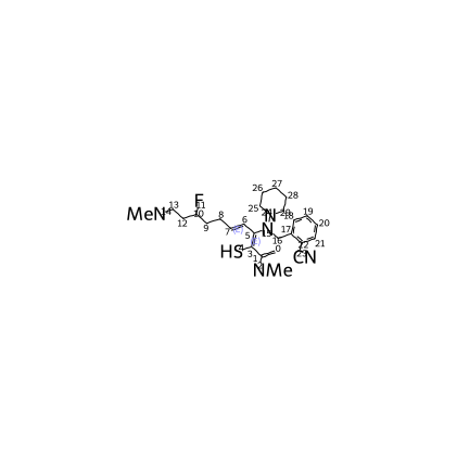 C=C(NC)/C(S)=C(/C=C/CCC(F)CCNC)N(Cc1ccccc1C#N)N1CCCCC1